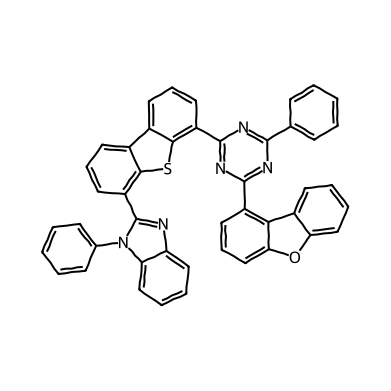 c1ccc(-c2nc(-c3cccc4c3sc3c(-c5nc6ccccc6n5-c5ccccc5)cccc34)nc(-c3cccc4oc5ccccc5c34)n2)cc1